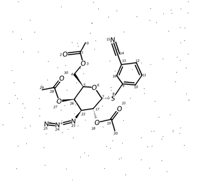 CC(=O)OC[C@H]1O[C@H](Sc2cccc(C#N)c2)[C@H](OC(C)=O)[C@@H](N=[N+]=[N-])[C@H]1OC(C)=O